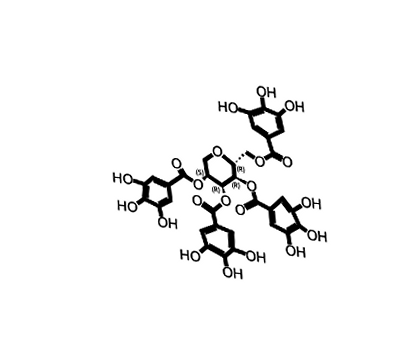 O=C(OC[C@H]1OC[C@H](OC(=O)c2cc(O)c(O)c(O)c2)[C@@H](OC(=O)c2cc(O)c(O)c(O)c2)[C@@H]1OC(=O)c1cc(O)c(O)c(O)c1)c1cc(O)c(O)c(O)c1